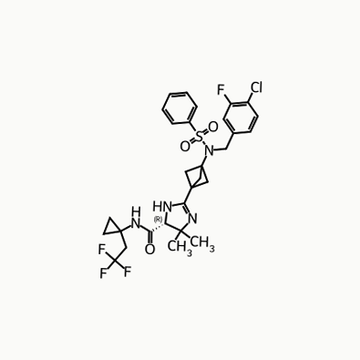 CC1(C)N=C(C23CC(N(Cc4ccc(Cl)c(F)c4)S(=O)(=O)c4ccccc4)(C2)C3)N[C@H]1C(=O)NC1(CC(F)(F)F)CC1